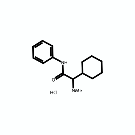 CNC(C(=O)Nc1ccccc1)C1CCCCC1.Cl